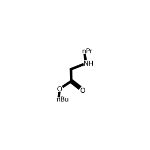 CCCCOC(=O)CNCCC